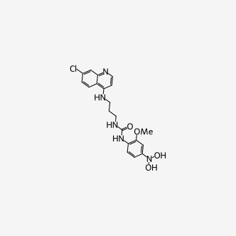 COc1cc(N(O)O)ccc1NC(=O)NCCCNc1ccnc2cc(Cl)ccc12